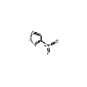 O=[SH](=O)c1ccon1